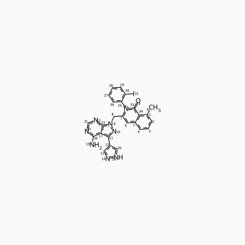 Cc1cccc2cc(Cn3nc(-c4cn[nH]c4)c4c(N)ncnc43)n(-c3ccccc3I)c(=O)c12